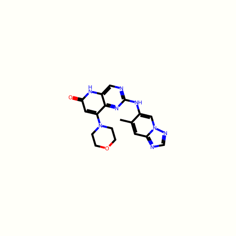 Cc1cc2ncnn2cc1Nc1ncc2[nH]c(=O)cc(N3CCOCC3)c2n1